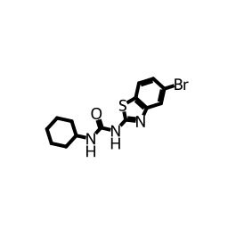 O=C(Nc1nc2cc(Br)ccc2s1)NC1CCCCC1